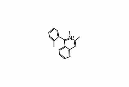 Cc1ccccc1-c1c2ccccc2cc(C)[n+]1C